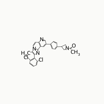 CC(=O)N1CC(c2ccc(-c3cnc4ccn5c(C)c(-c6c(Cl)cccc6Cl)nc5c4c3)cc2)C1